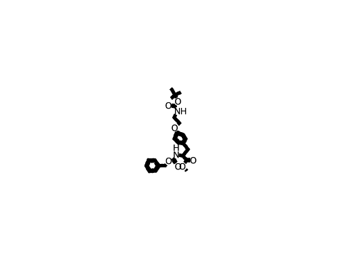 COC(=O)C(Cc1ccc(OCCNC(=O)OC(C)(C)C)cc1)NC(=O)OCc1ccccc1